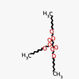 CCCCC=CC=COCCOC(=O)CC(OCCOC=CC=CCCCC)C(=O)OCCOC=CC=CCCCC